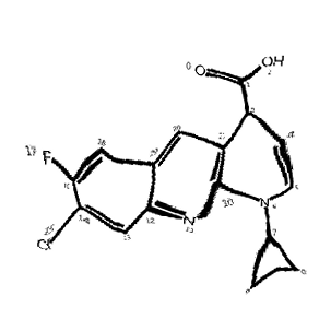 O=C(O)C1C=CN(C2CC2)c2nc3cc(Cl)c(F)cc3cc21